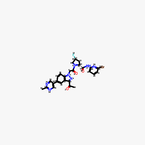 CC(=O)c1nn(CC(=O)N2C[C@@H](F)C[C@@H]2C(=O)Nc2cccc(Br)n2)c2ccc(-c3cnc(C)nc3)cc12